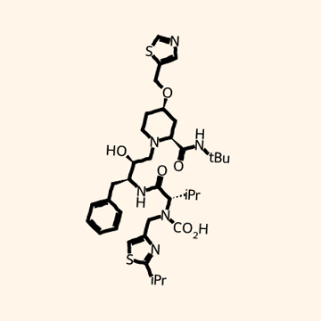 CC(C)c1nc(CN(C(=O)O)[C@H](C(=O)N[C@@H](Cc2ccccc2)[C@@H](O)CN2CC[C@@H](OCc3cncs3)C[C@H]2C(=O)NC(C)(C)C)C(C)C)cs1